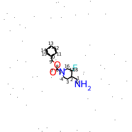 NCC1CCN(C(=O)OCc2ccccc2)CC1F